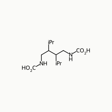 CC(C)C(CNC(=O)O)C(CNC(=O)O)C(C)C